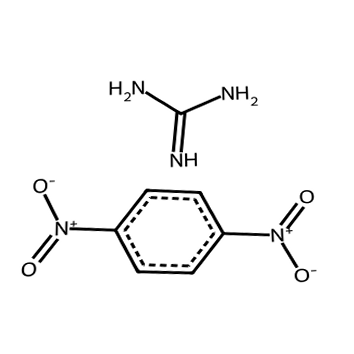 N=C(N)N.O=[N+]([O-])c1ccc([N+](=O)[O-])cc1